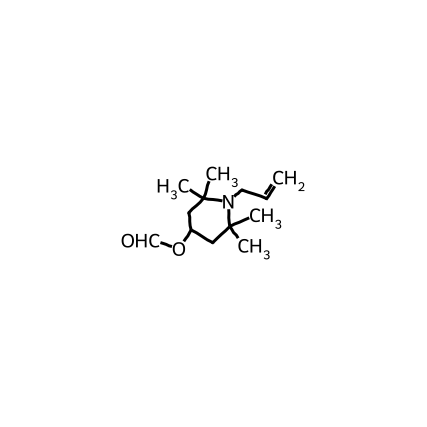 C=CCN1C(C)(C)CC(OC=O)CC1(C)C